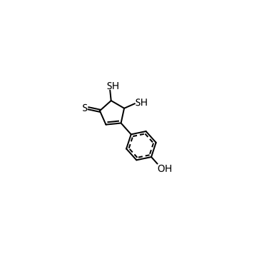 Oc1ccc(C2=CC(=S)C(S)C2S)cc1